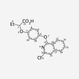 CCC(Oc1ccc(Oc2nc(Cl)cc3ccccc23)cc1)C(=O)O